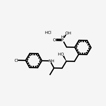 CC(C[C@@H](O)Cc1ccccc1C[PH](=O)O)Nc1ccc(Cl)cc1.Cl